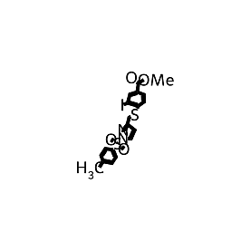 COC(=O)c1ccc(SCc2ccn(S(=O)(=O)c3ccc(C)cc3)n2)c(I)c1